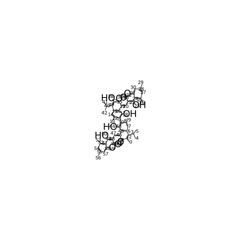 CC1=C(C(C)C)c2cc(C)c(-c3c(C)cc4c(c3O)/C(=C/c3c(O)c5c(C)cc(C)cc5oc3=O)C(=O)C(O)=C4C(C)C)c(O)c2/C(=C/c2c(O)c3c(C)cc(C)cc3oc2=O)C1=O